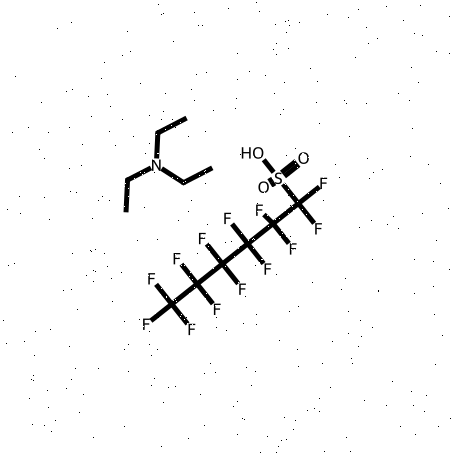 CCN(CC)CC.O=S(=O)(O)C(F)(F)C(F)(F)C(F)(F)C(F)(F)C(F)(F)C(F)(F)F